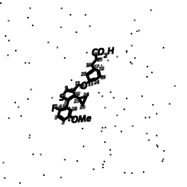 COc1ccc(F)c(-c2scc(COc3cccc(CCC(=O)O)c3)c2C2CC2)c1